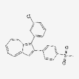 CS(=O)(=O)c1ccc(-c2cc3cccccc-3c2-c2cccc(Cl)c2)cc1